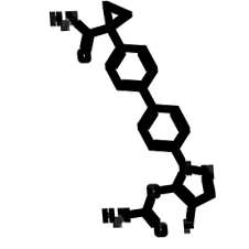 NC(=O)Oc1c(F)cnn1-c1ccc(-c2ccc(C3(C(N)=O)CC3)cc2)cc1